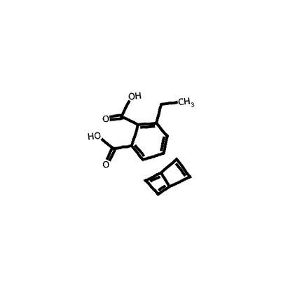 CCc1cccc(C(=O)O)c1C(=O)O.c1cc2ccc1-2